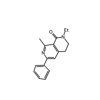 CCN1CCc2cc(-c3ccccc3)nc(C)c2C1=O